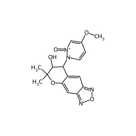 COc1ccn(C2c3cc4nonc4cc3OC(C)(C)C2O)[n+](=O)c1